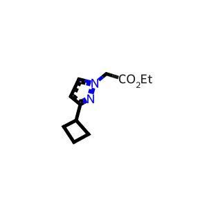 CCOC(=O)Cn1ccc(C2CCC2)n1